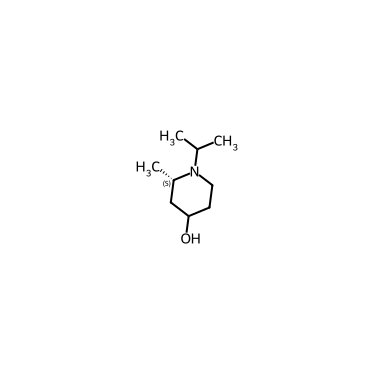 CC(C)N1CCC(O)C[C@@H]1C